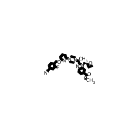 COC(=O)c1ccc2nc(C(C)N3CCN(c4cccc(OCc5ccc(C#N)cc5F)n4)CC3)n(C[C@@H]3CCO3)c2c1